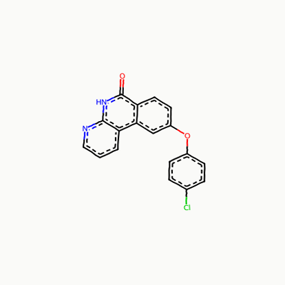 O=c1[nH]c2ncccc2c2cc(Oc3ccc(Cl)cc3)ccc12